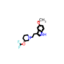 COc1ccc2[nH]cc(CCN3CCC[C@@H](OC(F)F)C3)c2c1